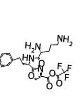 NCCC[C@@H](N)C(=O)N[C@H](CCc1ccccc1)c1nc(C(=O)OC(=O)C(F)(F)F)co1